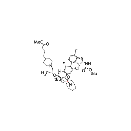 COC(=O)CCCC1CCN(C[C@H](C)Oc2nc(N3CC4CCC(C3)N4C(=O)OC(C)(C)C)c3cc(Cl)c(-c4ccc(F)c5sc(NC(=O)OC(C)(C)C)nc45)c(F)c3n2)CC1